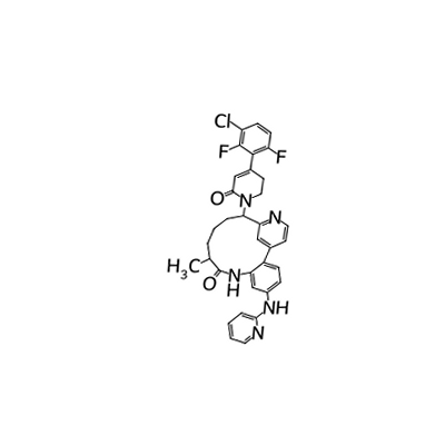 CC1CCCC(N2CCC(c3c(F)ccc(Cl)c3F)=CC2=O)c2cc(ccn2)-c2ccc(Nc3ccccn3)cc2NC1=O